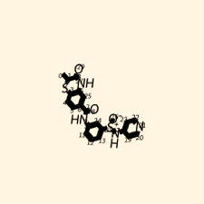 CC1Sc2ccc(C(=O)Nc3cccc([S+]([O-])Nc4ccncc4)c3)cc2NC1=O